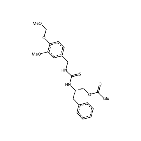 COCOc1ccc(CNC(=S)N[C@H](COC(=O)C(C)(C)C)Cc2ccccc2)cc1OC